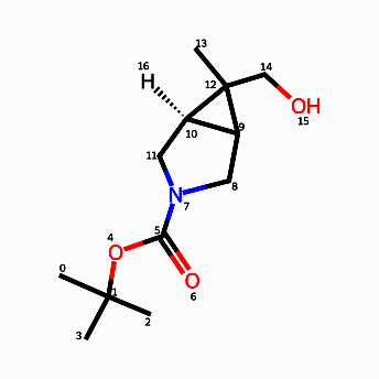 CC(C)(C)OC(=O)N1CC2[C@@H](C1)C2(C)CO